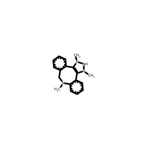 CN1NN(C)C2=C1c1ccccc1CN(C)c1ccccc12